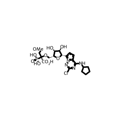 COC[C@@](OC[C@H]1O[C@@H](c2ccc3c(NC4CCCC4)nc(Cl)nn23)[C@H](O)[C@@H]1O)(C(=O)O)P(=O)(O)O